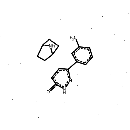 C1CC2CCC1N2.O=c1ccc(-c2cccc(C(F)(F)F)c2)n[nH]1